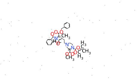 COC(=O)[C@H]1CN(CCC(C)(C)[C@@H](C(=O)OCc2ccccc2)N2C(=O)c3ccccc3C2=O)CCN1C(=O)OC(C)(C)C